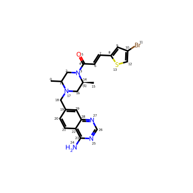 CC1CN(C(=O)C=Cc2cc(Br)cs2)[C@@H](C)CN1Cc1ccc2c(N)ncnc2c1